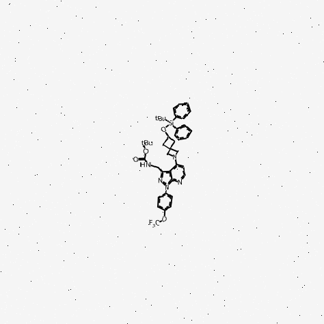 CC(C)(C)OC(=O)NCc1nn(-c2ccc(OC(F)(F)F)cc2)c2nccc(N3CC4(CC(O[Si](c5ccccc5)(c5ccccc5)C(C)(C)C)C4)C3)c12